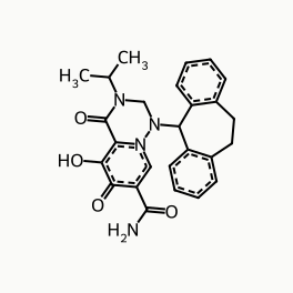 CC(C)N1CN(C2c3ccccc3CCc3ccccc32)n2cc(C(N)=O)c(=O)c(O)c2C1=O